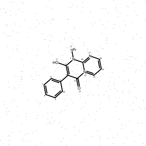 CCCn1c(O)c(-c2ccccc2)c(=O)[n+]2cccnc12